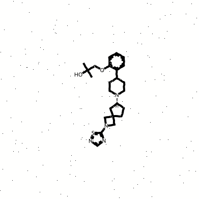 CC(C)(O)COc1ccccc1C1CCN([C@@H]2CCC3(C2)CN(c2ncns2)C3)CC1